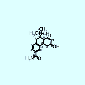 C[N+](C)(C)[C@@H]1Cc2ccc(C(N)=O)cc2C2CC(O)C=CC21